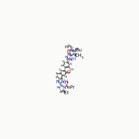 CCCC(=O)N1C(c2nc3ccc4cc5c(cc4c3[nH]2)OCc2cc(-c3cnc([C@H](C)N(C(=O)CCC)[C@@H](C)CC)[nH]3)ccc2-5)CC[C@@H]1CC